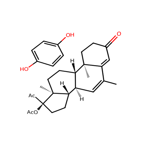 CC(=O)O[C@]1(C(C)=O)CC[C@H]2[C@@H]3C=C(C)C4=CC(=O)CC[C@]4(C)[C@H]3CC[C@@]21C.Oc1ccc(O)cc1